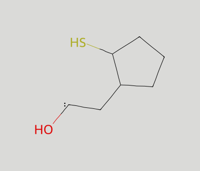 O[C]CC1CCCC1S